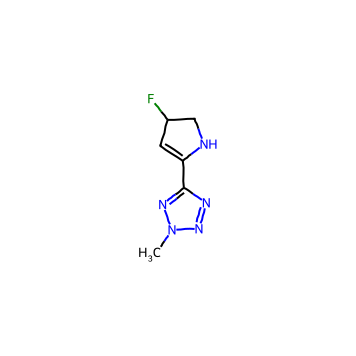 Cn1nnc(C2=CC(F)CN2)n1